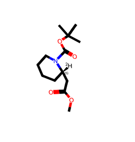 [2H][C@@]1(CC(=O)OC)CCCCN1C(=O)OC(C)(C)C